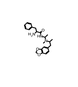 CC(Cc1ccc2c(c1)OCO2)N(C)C(C)NC(=O)C(N)Cc1ccccc1